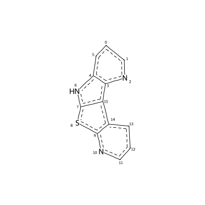 c1cnc2c(c1)[nH]c1sc3ncccc3c12